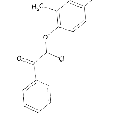 Cc1ccc(OC(Cl)C(=O)c2ccccc2)c(C)c1